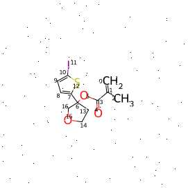 C=C(C)C(=O)OC1(c2ccc(I)s2)CCOC1